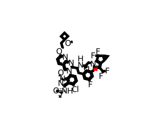 COC1(CCOc2ccc3c(=O)n(-c4ccc(Cl)c5c(N[S+](C)[O-])nn(C)c45)c(C(Cc4cc(F)cc(F)c4)NC(=O)Cn4nc(C(F)F)c5c4C(F)(F)C4CC54)nc3n2)CCC1